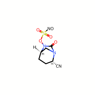 N#C[C@@H]1CC[C@@H]2CN1C(=O)N2OS(=O)(=O)N=O